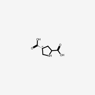 O=C(O)C1C[C@@H](C(=O)O)CN1